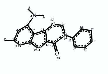 Cc1cc(N(C)C)c2c(n1)sc1c(=O)n(-c3ccccc3)cnc12